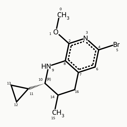 COc1nc(Br)cc2c1N[C@@H](C1CC1)C(C)C2